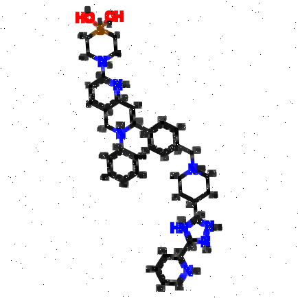 OS1(O)CCN(c2ccc3c(n2)C=C(c2ccc(CN4CCC(c5nnc(-c6ccccn6)[nH]5)CC4)cc2)N(c2ccccc2)C3)CC1